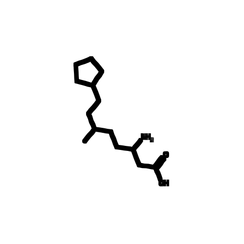 CC(CCC(N)CC(=O)O)CCC1CCCC1